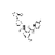 Cc1ccc(NC(=O)[C@H]2CC[C@H](N3CCCC3=O)CC2)c(C(=O)Nc2ccc(Cl)cn2)c1